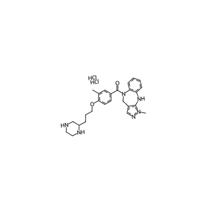 Cc1cc(C(=O)N2Cc3cnn(C)c3Nc3ccccc32)ccc1OCCCC1CNCCN1.Cl.Cl